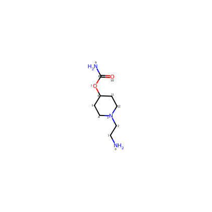 NCCN1CCC(OC(N)=O)CC1